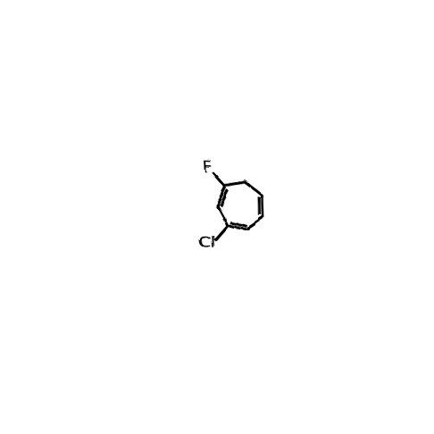 FC1=CC(Cl)=CC=CC1